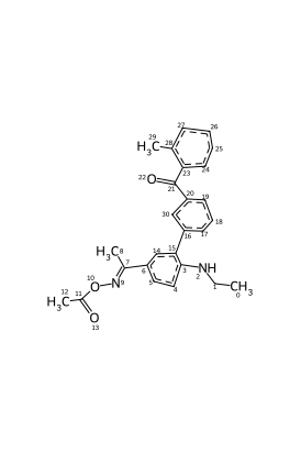 CCNc1ccc(/C(C)=N/OC(C)=O)cc1-c1cccc(C(=O)c2ccccc2C)c1